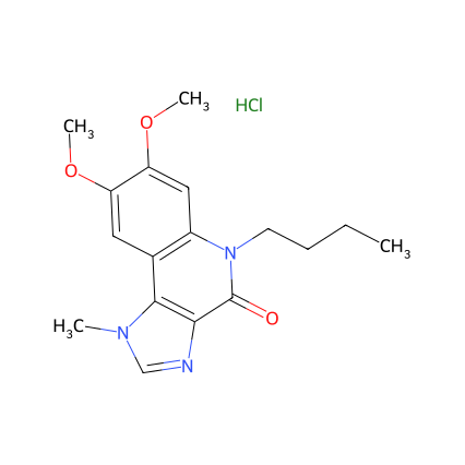 CCCCn1c(=O)c2ncn(C)c2c2cc(OC)c(OC)cc21.Cl